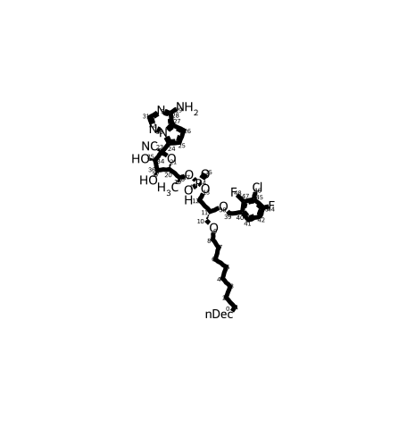 CCCCCCCCCCCCCCCCCCOC[C@H](COP(=O)(O)O[C@@H](C)[C@H]1O[C@@](C#N)(c2ccc3c(N)ncnn23)[C@H](O)[C@@H]1O)OCc1ccc(F)c(Cl)c1F